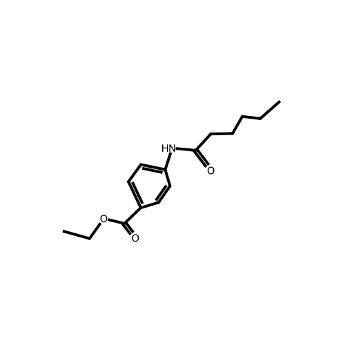 CCCCCC(=O)Nc1ccc(C(=O)OCC)cc1